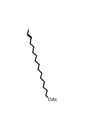 CC=CCCCCCCCCCCCCCOC(C)=O